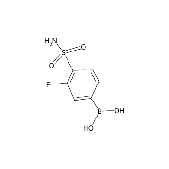 NS(=O)(=O)c1ccc(B(O)O)cc1F